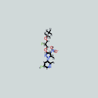 Cc1ncc(F)cc1-n1nc(OC[C@@H](F)CO[Si](C)(C)C(C)(C)C)c([N+](=O)[O-])c1C